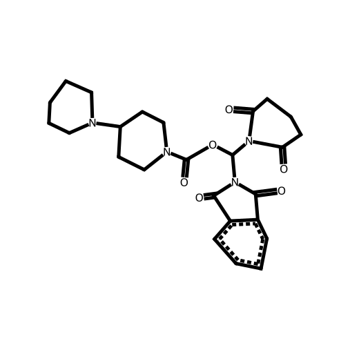 O=C(OC(N1C(=O)CCCC1=O)N1C(=O)c2ccccc2C1=O)N1CCC(N2CCCCC2)CC1